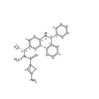 CN(C(=O)C12CC(N)(C1)C2)[C@@H](c1ccc(NC(c2ccccc2)c2ccccc2)cn1)C(F)(F)F